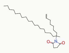 C=CCCCCCC(C)(CCCCCCCCCCCCCCCCC)N1C(=O)CCC1=O